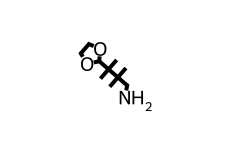 CC(C)(CN)C(C)(C)C1OCCO1